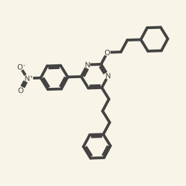 O=[N+]([O-])c1ccc(-c2cc(CCCc3ccccc3)nc(OCCC3CCCCC3)n2)cc1